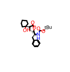 CC(C)(C)OC(=O)N[C@@H](Cc1ccccc1)[C@@H]1C[C@@H](C2(O)CCCCC2)C(=O)O1